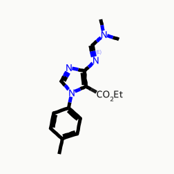 CCOC(=O)c1c(/N=C/N(C)C)ncn1-c1ccc(C)cc1